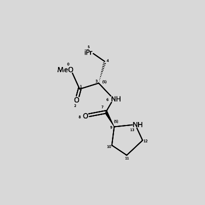 COC(=O)[C@H](CC(C)C)NC(=O)[C@@H]1CCCN1